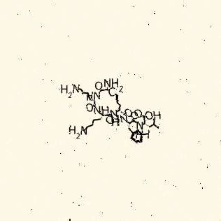 CC(C)C[C@H](NC(=O)[C@H](Cc1cccc(I)c1)NC(=O)[C@@H]1C/C=C/C[C@H](N)C(=O)N[C@@H](CCCCN)C(=O)N[C@@H](CCCCN)C(=O)N1)C(=O)O